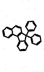 [c]1ccc2c(c1)C(c1ccccc1)(c1ccccc1)c1c[c]c3ccccc3c1-2